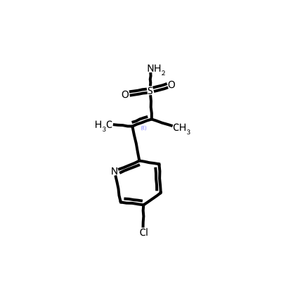 C/C(=C(/C)S(N)(=O)=O)c1ccc(Cl)cn1